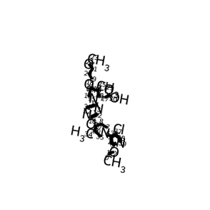 CCOc1cc(N2CC[C@@H](Oc3cnc(N4C[C@H](OCCCOC)[C@@H](C)[C@@H]4CC(=O)O)cn3)[C@H](C)C2)c(Cl)cn1